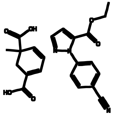 CC1(C(=O)O)C=CC=C(C(=O)O)C1.CCOC(=O)c1ccnn1-c1ccc(C#N)cc1